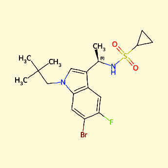 C[C@@H](NS(=O)(=O)C1CC1)c1cn(CC(C)(C)C)c2cc(Br)c(F)cc12